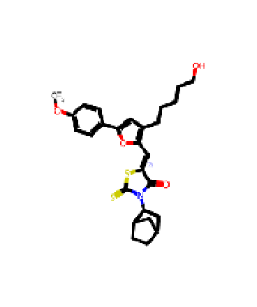 O=C1/C(=C/c2oc(-c3ccc(OC(F)(F)F)cc3)cc2CCCCCO)SC(=S)N1C1CC2CCC1C2